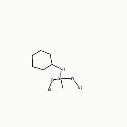 CCO[Si](C)(NC1CCCCC1)OCC